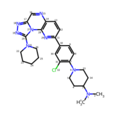 CN(C)C1CCN(c2ccc(-c3ccc4ncc5nnc(N6CCCCC6)n5c4n3)cc2Cl)CC1